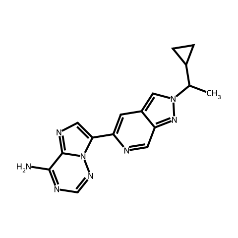 CC(C1CC1)n1cc2cc(-c3cnc4c(N)ncnn34)ncc2n1